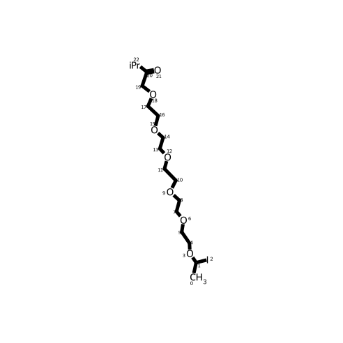 CC(I)OCCOCCOCCOCCOCCOCC(=O)C(C)C